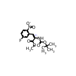 COC(=O)/C(=C\c1cc(F)ccc1[N+](=O)[O-])NC(=O)OC(C)(C)C